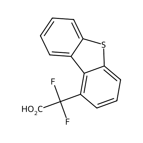 O=C(O)C(F)(F)c1cccc2sc3ccccc3c12